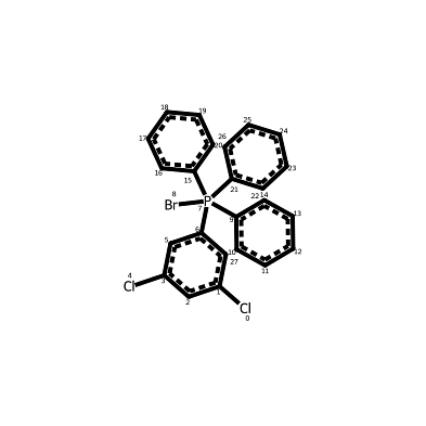 Clc1cc(Cl)cc(P(Br)(c2ccccc2)(c2ccccc2)c2ccccc2)c1